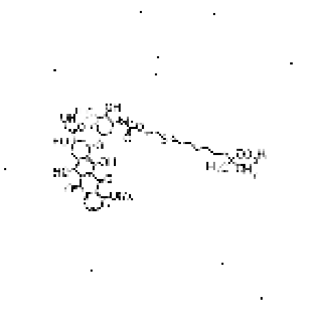 COc1cccc2c1C(=O)c1c(O)c3c(c(O)c1C2=O)C[C@@](O)(C(=O)CO)C[C@@H]3O[C@H]1C[C@H](NC(=O)OCCSSCCCCCCC(C)(C)C(=O)O)[C@H](O)[C@H](C)O1